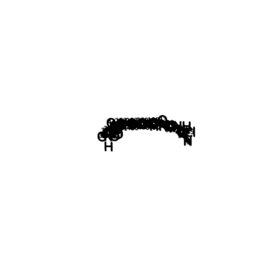 N#Cc1ccc(NC2CCC(NC(=O)c3ccc(N4CCC(N5CCN(c6ccc7c(c6)C(=O)N(C6CCC(=O)NC6=O)C7=O)CC5)CC4)cc3)CC2)cc1Cl